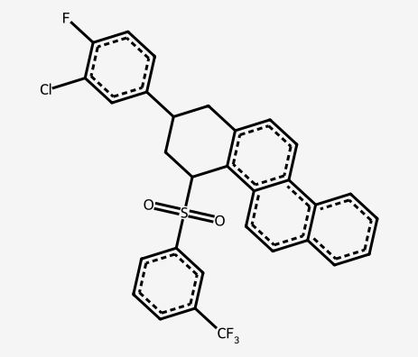 O=S(=O)(c1cccc(C(F)(F)F)c1)C1CC(c2ccc(F)c(Cl)c2)Cc2ccc3c(ccc4ccccc43)c21